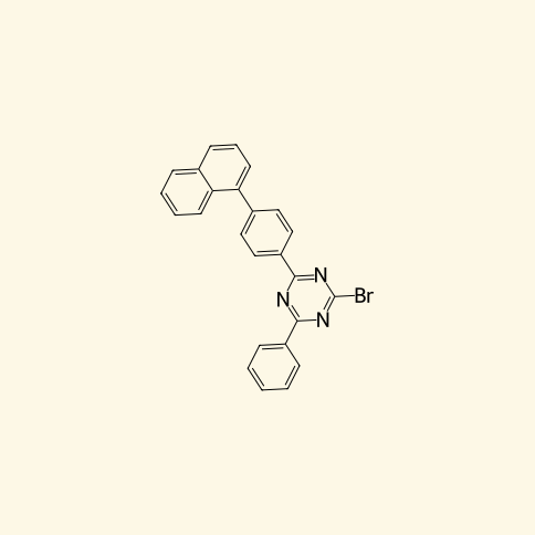 Brc1nc(-c2ccccc2)nc(-c2ccc(-c3cccc4ccccc34)cc2)n1